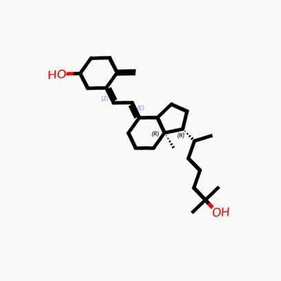 C=C1CCC(O)C/C1=C/C=C1\CCC[C@@]2(C)C1CC[C@@H]2C(C)CCCC(C)(C)O